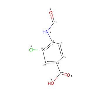 O=CNc1ccc(C(=O)O)cc1Cl